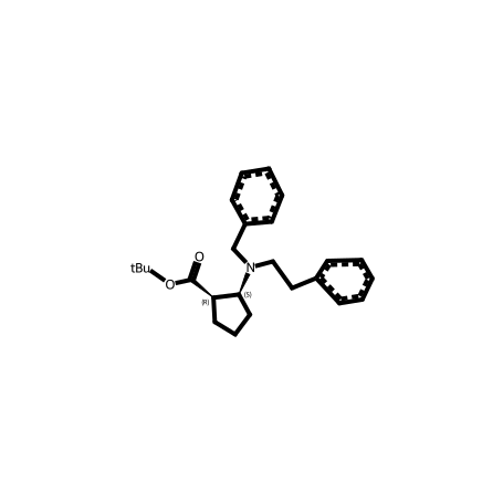 CC(C)(C)OC(=O)[C@@H]1CCC[C@@H]1N(CCc1ccccc1)Cc1ccccc1